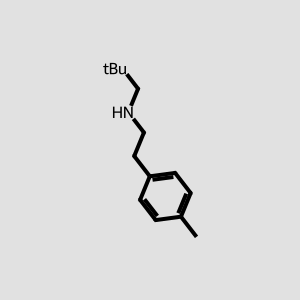 Cc1ccc(CCNCC(C)(C)C)cc1